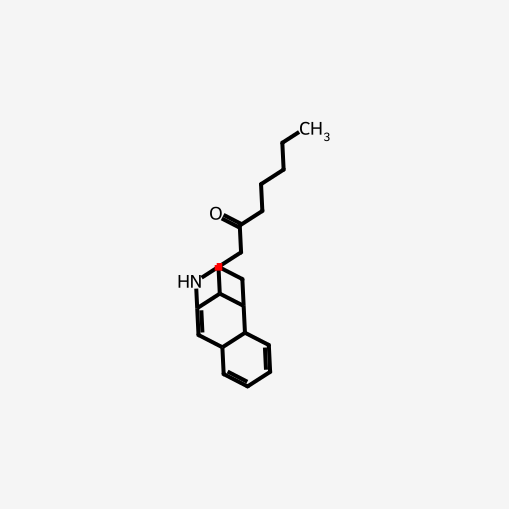 CCCCCC(=O)CCC1C2=CC3C=CC=CC3C1CCN2